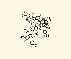 CC1=C(C(C(=O)[O-])c2c(C)n(C(=O)c3ccc(Cl)c(Cl)c3)c3cc(F)c(O)cc23)c2cc(OC(=O)C(c3c(C)n(C(=O)c4ccc(Cl)c(Cl)c4)c4cc(F)c(O)cc34)C3CCCC3)c(F)cc2[N+]1(C(=O)c1ccc(Cl)c(Cl)c1)C(C(N)=O)c1c(C)n(C(=O)c2ccc(Cl)c(Cl)c2)c2cc(F)c(O)cc12